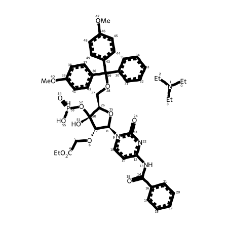 CCN(CC)CC.CCOC(=O)CO[C@H]1[C@H](n2ccc(NC(=O)c3ccccc3)nc2=O)O[C@H](COC(c2ccccc2)(c2ccc(OC)cc2)c2ccc(OC)cc2)[C@@]1(O)O[PH](=O)O